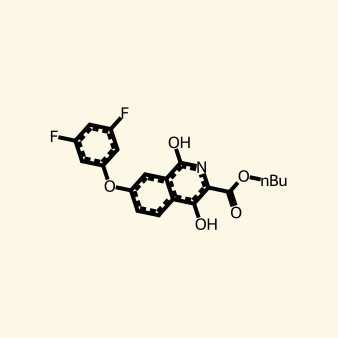 CCCCOC(=O)c1nc(O)c2cc(Oc3cc(F)cc(F)c3)ccc2c1O